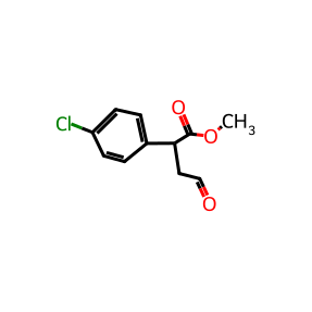 COC(=O)C(CC=O)c1ccc(Cl)cc1